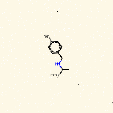 CCCc1ccc(CNC(C)C(=O)OCC)cc1